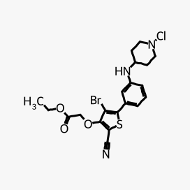 CCOC(=O)COc1c(C#N)sc(-c2cccc(NC3CCN(Cl)CC3)c2)c1Br